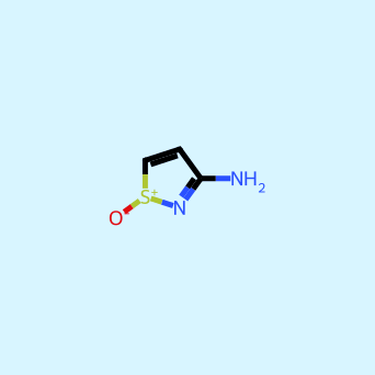 Nc1cc[s+]([O-])n1